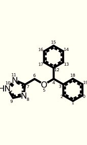 c1ccc(C(OCc2nc[nH]n2)c2ccccc2)cc1